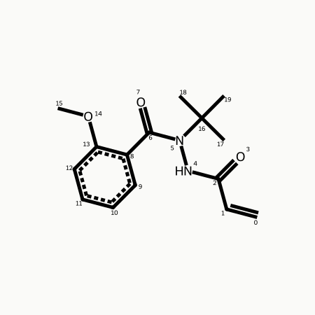 C=CC(=O)NN(C(=O)c1ccccc1OC)C(C)(C)C